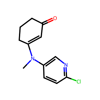 CN(C1=CC(=O)CCC1)c1ccc(Cl)nc1